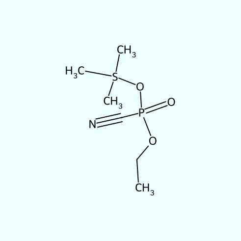 CCOP(=O)(C#N)OS(C)(C)C